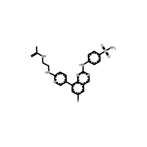 C=C(C)NCCNc1ccc(-c2cc(F)cc3cnc(Nc4ccc(S(N)(=O)=O)cc4)nc23)cn1